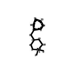 C[N+]1(C)CCC(Cc2ccccc2)CC1